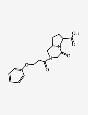 O=C(O)C1CCC2CN(C(=O)CCOc3ccccc3)CC(=O)N21